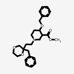 COC(=O)C1CN(CCC2(Cc3ccccc3)COCCO2)CCC1OCc1ccccc1